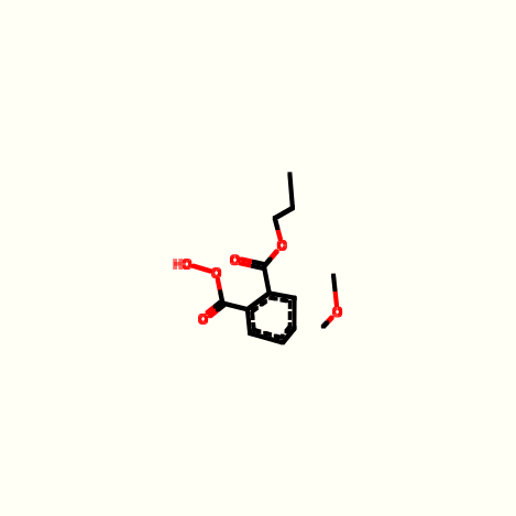 CCCOC(=O)c1ccccc1C(=O)OO.COC